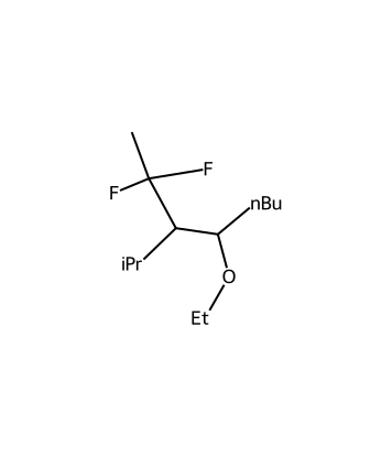 CCCCC(OCC)C(C(C)C)C(C)(F)F